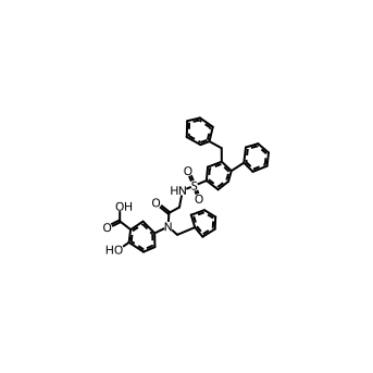 O=C(O)c1cc(N(Cc2ccccc2)C(=O)CNS(=O)(=O)c2ccc(-c3ccccc3)c(Cc3ccccc3)c2)ccc1O